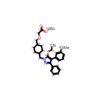 COc1cccc(-c2c(-c3ccccc3)nn(CC3CCC(COCC(=O)OC(C)(C)C)CC3)c2SCC#N)c1